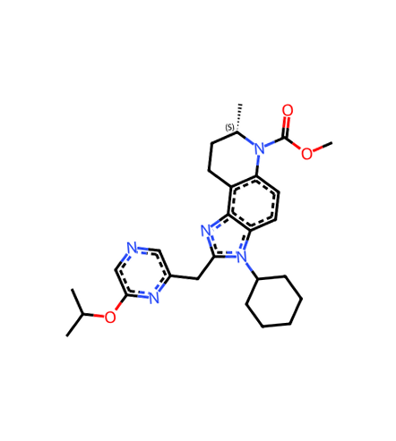 COC(=O)N1c2ccc3c(nc(Cc4cncc(OC(C)C)n4)n3C3CCCCC3)c2CC[C@@H]1C